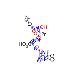 CCc1cccc2cccc(-c3ncc4c(N5CC6CCC(C5)N6)nc(OC[C@@H]5CC[C@@H](CC6[C@@H](C)N(c7cc([C@H](C(=O)N8C[C@H](O)C[C@H]8C(=O)N[C@@H](C)c8ccc(-c9scnc9C)cc8)C(C)C)on7)CCN6C(=O)O)N5C)nc4c3F)c12